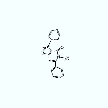 CCn1c(-c2ccccc2)cc2onc(-c3ccccc3)c2c1=O